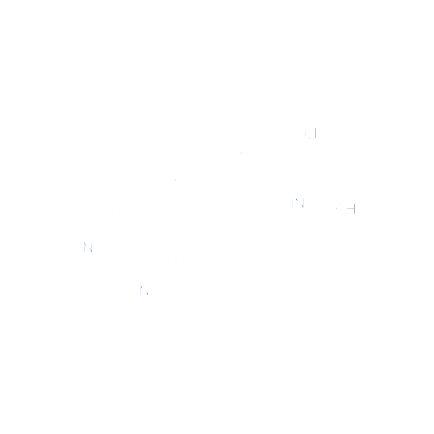 CN[C@@H](C)C/C=C/c1cncnc1